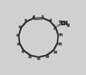 C[C@H]1C/C=C\CCCCCCCCCCC1